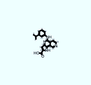 CC(C)c1cccc(Nc2nc3cc(C(=O)O)[nH]c3c3cnccc23)c1